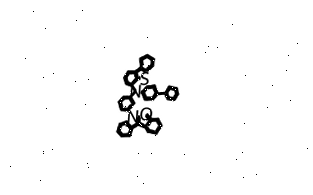 c1ccc(-c2ccc(N(c3cccc(-n4c5ccccc5c5c6ccccc6oc54)c3)c3cccc4c3sc3ccccc34)cc2)cc1